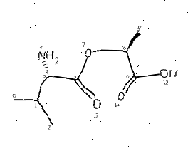 CC(C)[C@H](N)C(=O)O[C@@H](C)C(=O)O